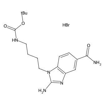 Br.CC(C)(C)OC(=O)NCCCCn1c(N)nc2cc(C(N)=O)ccc21